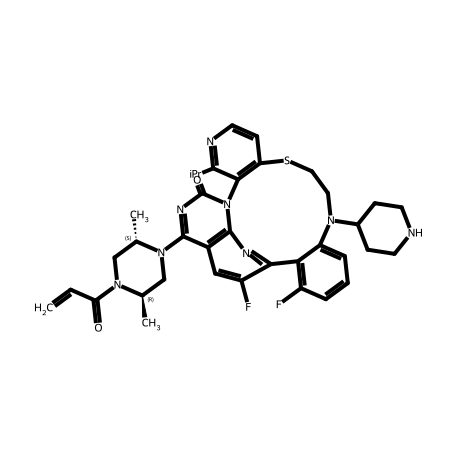 C=CC(=O)N1C[C@H](C)N(c2nc(=O)n3c4nc(c(F)cc24)-c2c(F)cccc2N(C2CCNCC2)CCSc2ccnc(C(C)C)c2-3)C[C@H]1C